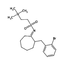 C[Si](C)(C)CCS(=O)(=O)N=C1CCCCCC1Cc1ccccc1Br